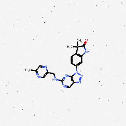 Cc1cnc(CNc2ncc3nnn(-c4ccc5c(c4)NC(=O)C5(C)C)c3n2)cn1